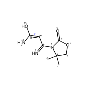 CC1(C)COC(=O)N1C(=N)/C=C(\N)O